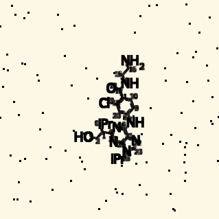 CC(C)[C@H](CO)c1nc(Nc2ccc(C(=O)NCCN)c(Cl)c2)c2ncn(C(C)C)c2n1